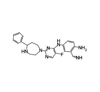 N=Cc1cc(Nc2nc(N3CCNC(c4ccccc4)CC3)ncc2F)ccc1N